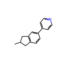 CC1Cc2ccc(-c3ccncc3)cc2C1